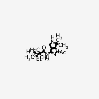 CC[Si](C)(C)C(C)(C)C(=O)Nc1nn(C(C)=O)c2c1CNC2(C)C